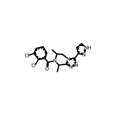 CC1Cn2c(-c3cc[nH]n3)nnc2C(C)N1C(=O)c1cccc(Cl)c1Cl